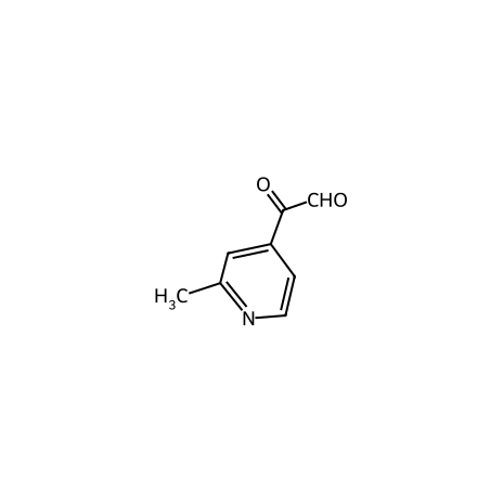 Cc1cc(C(=O)C=O)ccn1